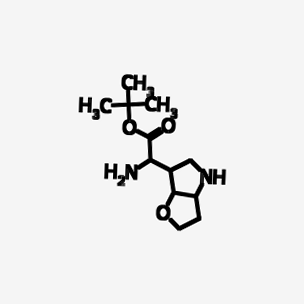 CC(C)(C)OC(=O)C(N)C1CNC2CCOC21